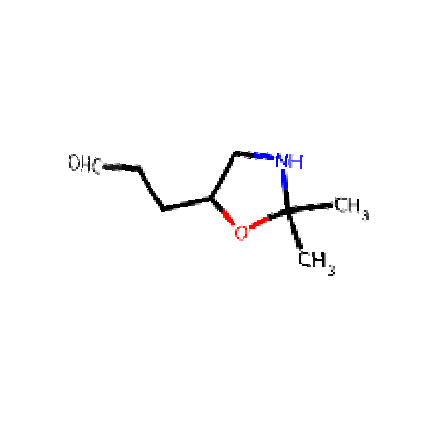 CC1(C)NCC(CCC=O)O1